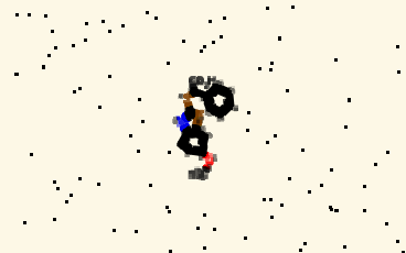 CCCCOc1ccc2nc(SC(C(=O)O)c3ccccc3)sc2c1